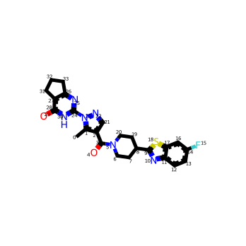 Cc1c(C(=O)N2CCC(c3nc4ccc(F)cc4s3)CC2)cnn1-c1nc2c(c(=O)[nH]1)CCC2